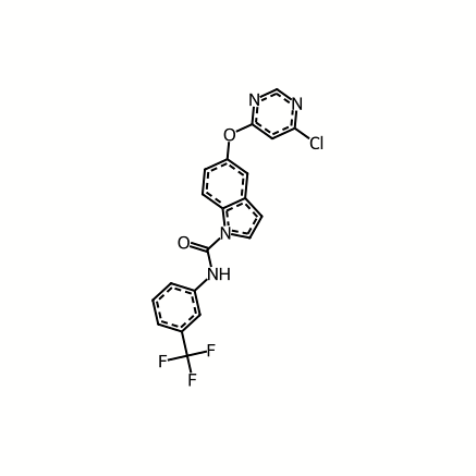 O=C(Nc1cccc(C(F)(F)F)c1)n1ccc2cc(Oc3cc(Cl)ncn3)ccc21